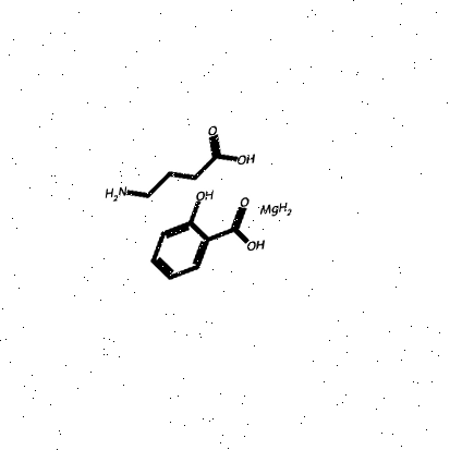 NCCCC(=O)O.O=C(O)c1ccccc1O.[MgH2]